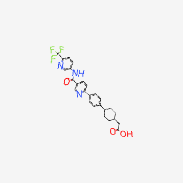 O=C(O)C[C@H]1CC[C@@H](c2ccc(-c3ccc(C(=O)Nc4ccc(C(F)(F)F)nc4)cn3)cc2)CC1